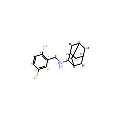 Fc1ccc(F)c(CNC2C3CC4CC(C3)CC2C4)c1